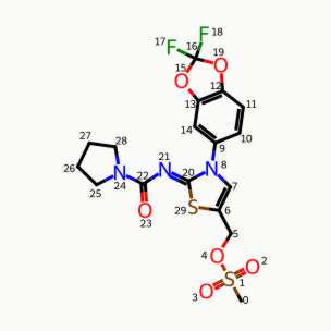 CS(=O)(=O)OCc1cn(-c2ccc3c(c2)OC(F)(F)O3)c(=NC(=O)N2CCCC2)s1